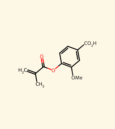 C=C(C)C(=O)Oc1ccc(C(=O)O)cc1OC